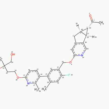 CC(=O)[C@H]1[C@@H]2Cc3cc(OCc4cc(-c5ccc(OCCC(C)(O)CO)nc5C)c(C)cc4F)ncc3[C@@H]21